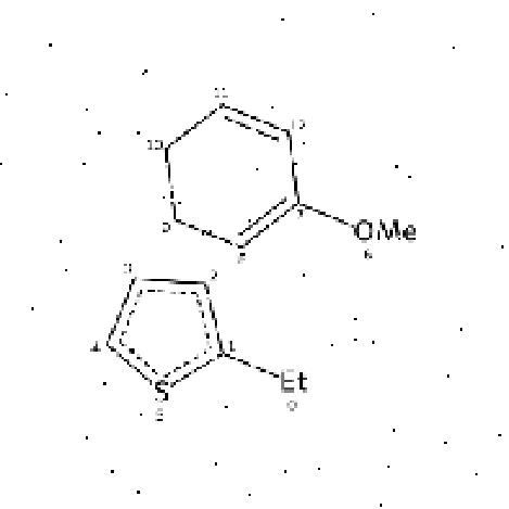 CCc1cccs1.COC1=CCCC=C1